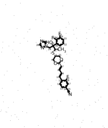 C[C@@H](S[C@H]1CO[C@H](C=CC=Cc2ccc(C#N)cc2F)OC1)[C@](O)(Cn1cncn1)c1cccc(F)c1F